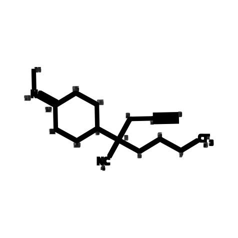 C#CCC(C#N)(CCCC(F)(F)F)C1CCC(=NC)CC1